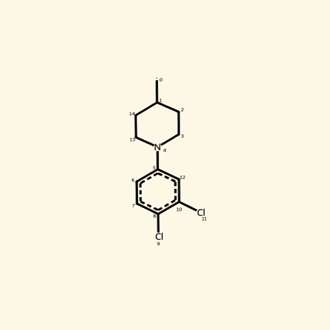 [CH2]C1CCN(c2ccc(Cl)c(Cl)c2)CC1